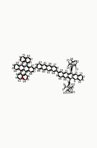 CC(C)[Si](C#Cc1c2cc3ccccc3cc2c(C#C[Si](C(C)C)(C(C)C)C(C)C)c2cc3cc(-c4ccc5cc6cc7ccc(-c8ccc9c(-c%10ccccc%10)c%10c(-c%11ccccc%11)c%11ccccc%11c(-c%11ccccc%11)c%10c(-c%10ccccc%10)c9c8)cc7cc6cc5c4)ccc3cc12)(C(C)C)C(C)C